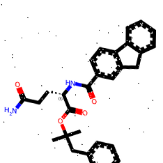 CC(C)(Cc1ccccc1)OC(=O)[C@H](CCC(N)=O)NC(=O)c1ccc2c(c1)Cc1ccccc1-2